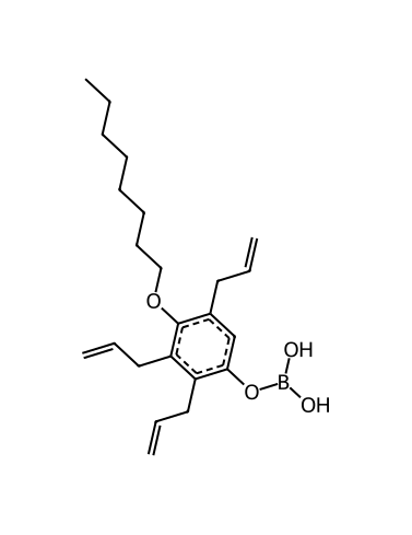 C=CCc1cc(OB(O)O)c(CC=C)c(CC=C)c1OCCCCCCCC